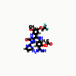 CC(=O)O.COc1cc(OCC(F)F)cc(C(Nc2ccc(C(=N)N)cc2)c2nn(-c3ncccn3)c(=O)[nH]2)c1